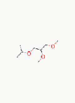 COCC(COC(C)C)OC